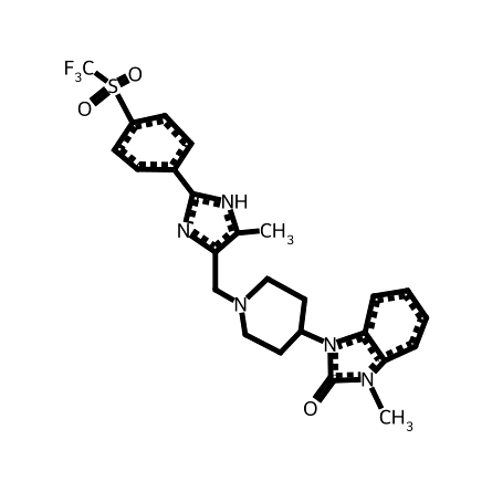 Cc1[nH]c(-c2ccc(S(=O)(=O)C(F)(F)F)cc2)nc1CN1CCC(n2c(=O)n(C)c3ccccc32)CC1